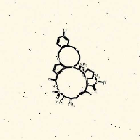 C=C1[C@@H]2CCCN2[C@@H](C(=O)N(C)C(C)C)/C(F)=C/C[C@H](C)[C@@H](C)S(=O)(=O)NC(=O)c2ccc3c(c2)N1CCCCc1cc(Cl)ccc1CO3